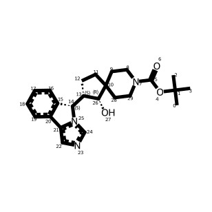 CC(C)(C)OC(=O)N1CCC2(CC[C@@H]([C@H]3c4ccccc4-c4cncn43)[C@H]2O)CC1